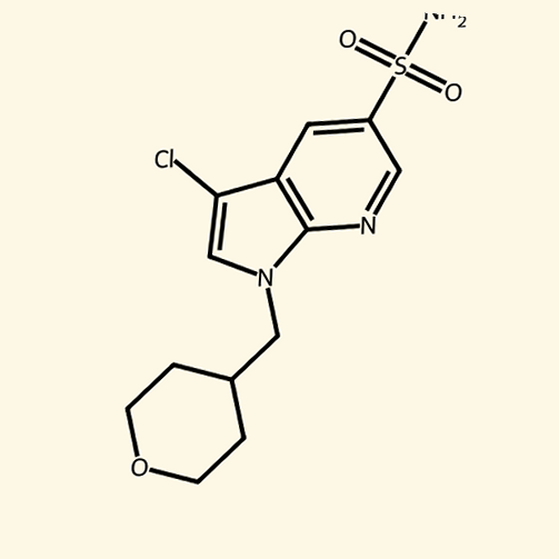 NS(=O)(=O)c1cnc2c(c1)c(Cl)cn2CC1CCOCC1